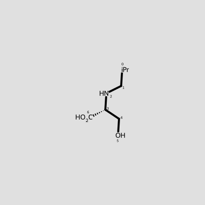 CC(C)CN[C@H](CO)C(=O)O